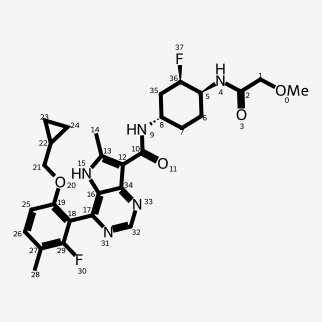 COCC(=O)N[C@H]1CC[C@H](NC(=O)c2c(C)[nH]c3c(-c4c(OCC5CC5)ccc(C)c4F)ncnc23)C[C@H]1F